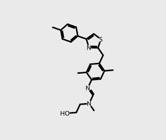 Cc1ccc(-c2csc(Cc3cc(C)c(N=CN(C)CCO)cc3C)n2)cc1